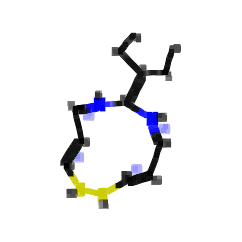 CCC(CC)=C1/N=C\C=C\SS/C=C/C=N\1